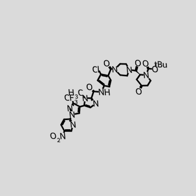 Cn1c(-c2cn(-c3ccc([N+](=O)[O-])cn3)nc2C(F)(F)F)cnc1C(=O)Nc1ccc(C(=O)N2CCN(C(=O)[C@@H]3CC(=O)CCN3C(=O)OC(C)(C)C)CC2)c(Cl)c1